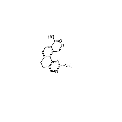 Nc1ncc2c(n1)-c1c(ccc(C(=O)O)c1C=O)CC2